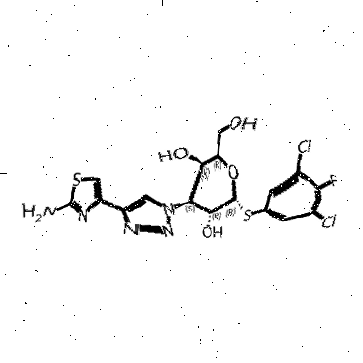 Nc1nc(-c2cn([C@@H]3[C@@H](O)[C@@H](Sc4cc(Cl)c(F)c(Cl)c4)O[C@H](CO)[C@@H]3O)nn2)cs1